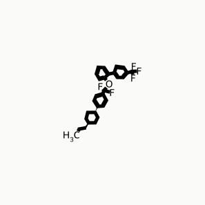 CCC[C@H]1CC[C@H](c2ccc(C(F)(F)Oc3ccccc3-c3ccc(C(F)(F)F)cc3)cc2)CC1